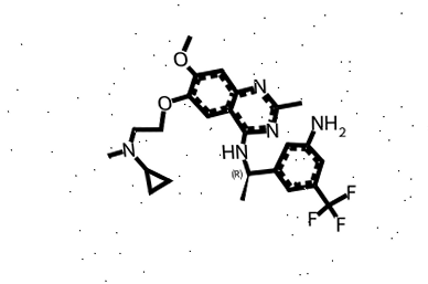 COc1cc2nc(C)nc(N[C@H](C)c3cc(N)cc(C(F)(F)F)c3)c2cc1OCCN(C)C1CC1